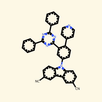 N#Cc1ccc2c(c1)c1cc(C#N)ccc1n2-c1ccc(-c2ccncc2)c(-c2nc(-c3ccccc3)nc(-c3ccccc3)n2)c1